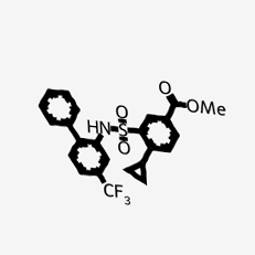 COC(=O)c1ccc(C2CC2)c(S(=O)(=O)Nc2cc(C(F)(F)F)ccc2-c2ccccc2)c1